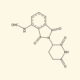 O=CNc1cccc2c1C(=O)N(C1CCC(=O)NC1=O)C2=O